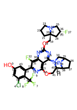 Oc1cc(Cl)c(C(F)(F)F)c(-c2nc3c4c(nc(OC[C@@]56CCCN5C[C@H](F)C6)nc4c2F)N2CC4CCC(N4)[C@H]2CO3)c1